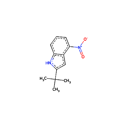 CC(C)(C)c1cc2c([N+](=O)[O-])cccc2[nH]1